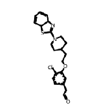 O=CCc1ccc(Cl)c(OCCC2CCN(C3=NC4C=CC=CC4S3)CC2)c1